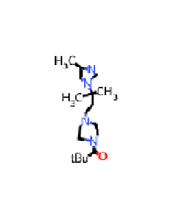 Cc1cn(C(C)(C)CCN2CCN(C(=O)C(C)(C)C)CC2)cn1